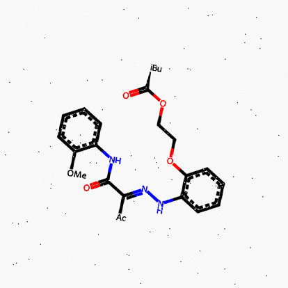 CC[C@H](C)C(=O)OCCOc1ccccc1N/N=C(\C(C)=O)C(=O)Nc1ccccc1OC